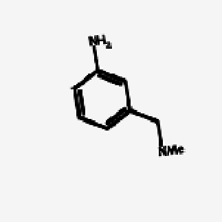 CNCc1cc[c]c(N)c1